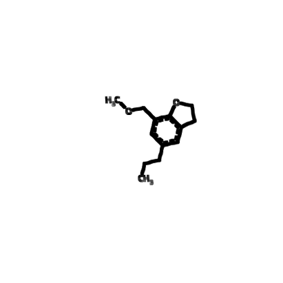 CCCc1cc2c(c(COC)c1)OCC2